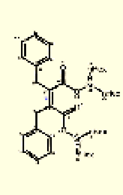 CCCCC[CH2][SnH]([CH2]CCCCC)[O]C(=O)/C(Cc1ccccc1)=C(/Cc1ccccc1)C(=O)[O][SnH]([CH2]CCCCC)[CH2]CCCCC